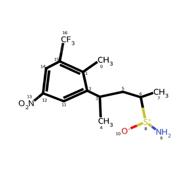 Cc1c(C(C)CC(C)[S+](N)[O-])cc([N+](=O)[O-])cc1C(F)(F)F